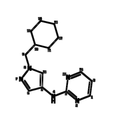 c1cnc(Nc2cnn(CC3CCCCC3)c2)nc1